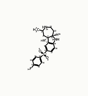 CC1C[C@@H]2c3cc(S(=O)(=O)c4ccc(F)cc4)ccc3N[C@H]2CCN1